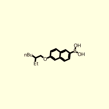 CCCCC(CC)COc1ccc2cc(B(O)O)ccc2c1